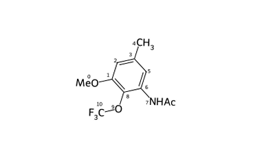 COc1cc(C)cc(NC(C)=O)c1OC(F)(F)F